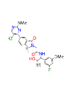 CCC(O)C(NC(=O)CN1C(=O)c2cc(-c3nc(NC)ncc3Cl)ccc2[C@H]1C)c1cc(F)cc(OC)c1